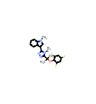 Cn1c(-c2cn(C)c3ccccc23)nnc1C(C)(C)Oc1c(F)cc(F)cc1F